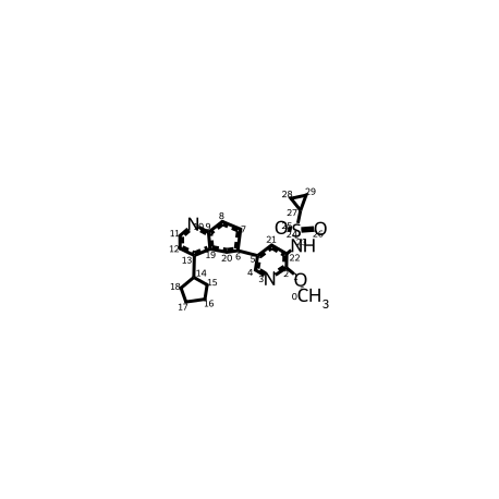 COc1ncc(-c2ccc3nccc(C4CCCC4)c3c2)cc1NS(=O)(=O)C1CC1